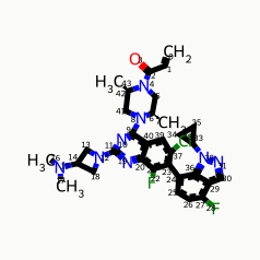 C=CC(=O)N1C[C@H](C)N(c2nc(N3CC(N(C)C)C3)nc3c(F)c(-c4ccc(F)c5cnn(C6CC6)c45)c(Cl)cc23)C[C@H]1C